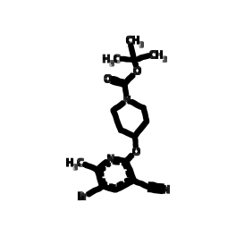 Cc1nc(OC2CCN(C(=O)OC(C)(C)C)CC2)c(C#N)cc1Br